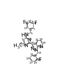 Cc1cc(NCc2cc(F)cc(F)c2)nc(-c2nn(Cc3ccccc3F)c3ncccc23)n1